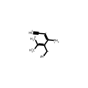 C#C/C=C(/P)C(CC(C)C)=C(C)C